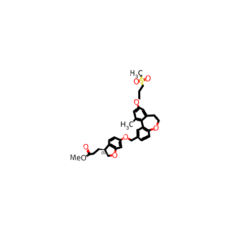 COC(=O)CC[C@@H]1COc2cc(OCc3ccc4c(c3)-c3c(C)cc(OCCCS(C)(=O)=O)cc3CCO4)ccc21